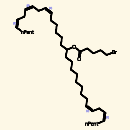 CCCCC/C=C\C/C=C\C/C=C\CCCCCC(CCCCCCCC/C=C\C/C=C\CCCCC)OC(=O)CCCCBr